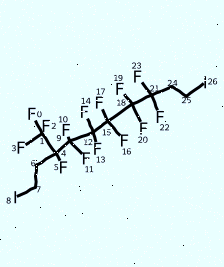 FC(F)(F)C(F)(CCI)C(F)(F)C(F)(F)C(F)(F)C(F)(F)C(F)(F)CCI